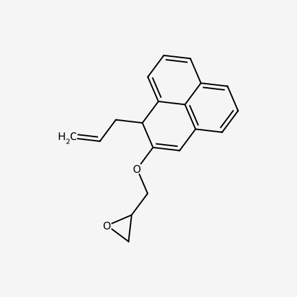 C=CCC1C(OCC2CO2)=Cc2cccc3cccc1c23